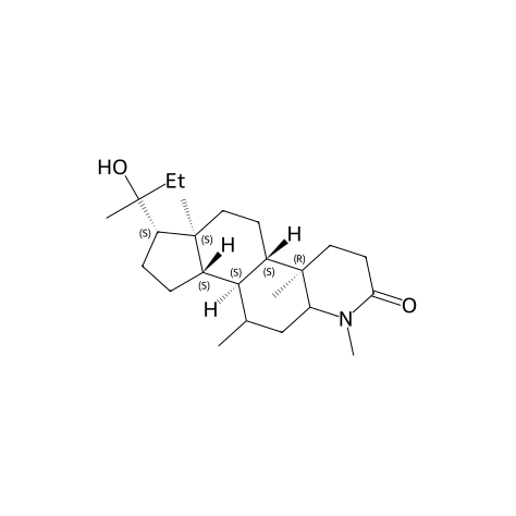 CCC(C)(O)[C@H]1CC[C@H]2[C@@H]3C(C)CC4N(C)C(=O)CC[C@]4(C)[C@H]3CC[C@]12C